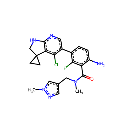 CN(Cc1cnn(C)c1)C(=O)c1c(N)ccc(-c2cnc3c(c2Cl)C2(CC2)CN3)c1F